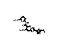 COc1cccc(NC(=O)c2cn3cc(C45COC(CF)(C4)C5)nc3cc2OC)n1